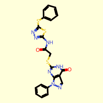 O=C(CSc1nc2c(cnn2-c2ccccc2)c(=O)[nH]1)Nc1nnc(Sc2ccccc2)s1